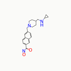 O=NC(=O)c1ccc2cc(CN3CCC(CNC4CC4)CC3)ccc2c1